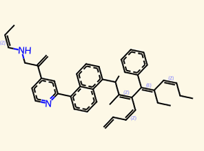 C=C\C=C/C(=C(\C)C(C)c1cccc2c(-c3cc(C(=C)CN/C=C\C)ccn3)cccc12)C(=C(/C=C\CC)CC)/c1ccccc1